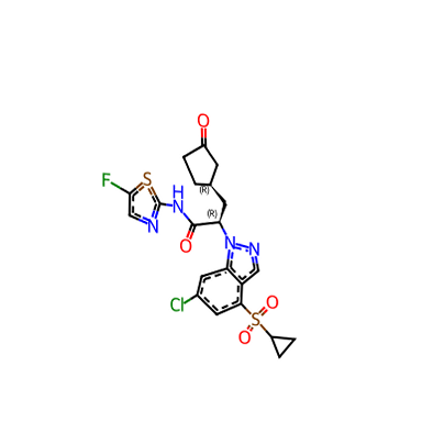 O=C1CC[C@H](C[C@H](C(=O)Nc2ncc(F)s2)n2ncc3c(S(=O)(=O)C4CC4)cc(Cl)cc32)C1